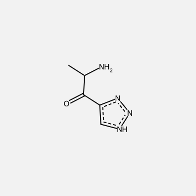 CC(N)C(=O)c1c[nH]nn1